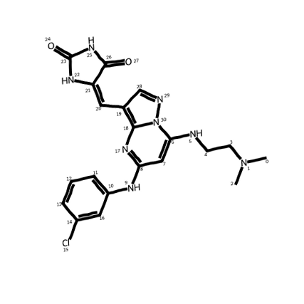 CN(C)CCNc1cc(Nc2cccc(Cl)c2)nc2c(C=C3NC(=O)NC3=O)cnn12